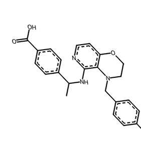 Cc1ccc(CN2CCOc3ccnc(NC(C)c4ccc(C(=O)O)cc4)c32)cc1